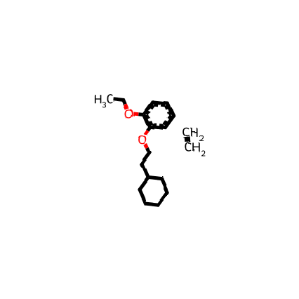 C=C.CCOc1ccccc1OCCC1CCCCC1